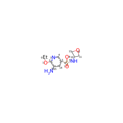 CCOc1ncc(S(=O)(=O)NC2COC2)cc1N